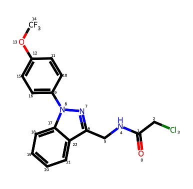 O=C(CCl)NCc1nn(-c2ccc(OC(F)(F)F)cc2)c2ccccc12